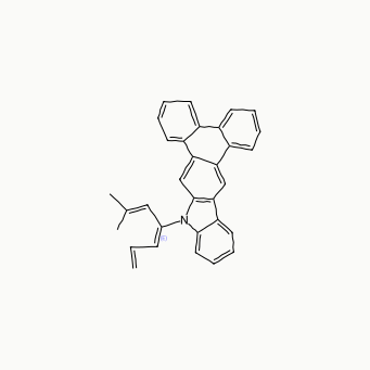 C=C/C=C(\C=C(C)C)n1c2ccccc2c2cc3c4ccccc4c4ccccc4c3cc21